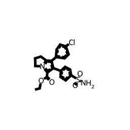 CCOC(=O)c1c(-c2ccc(S(N)(=O)=O)cc2)c(-c2ccc(Cl)cc2)c2n1CCC2